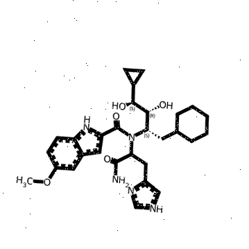 COc1ccc2[nH]c(C(=O)N(C(Cc3c[nH]cn3)C(N)=O)[C@@H](CC3CCCCC3)[C@@H](O)[C@@H](O)C3CC3)cc2c1